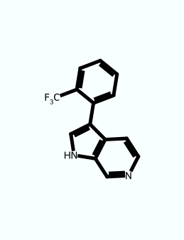 FC(F)(F)c1ccccc1-c1c[nH]c2cnccc12